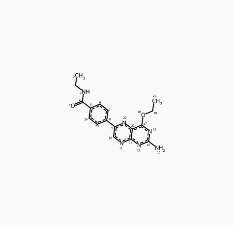 CCNC(=O)c1ccc(-c2cnc3nc(N)nc(OCC)c3n2)cc1